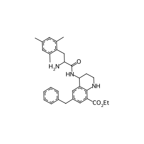 CCOC(=O)c1cc(Cc2ccccc2)cc2c1NCCC2NC(=O)C(N)Cc1c(C)cc(C)cc1C